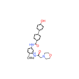 COc1ccc(NC(=O)c2ccc(-c3ccc(O)cc3)cc2)cc1NC(=O)CN1CCOCC1